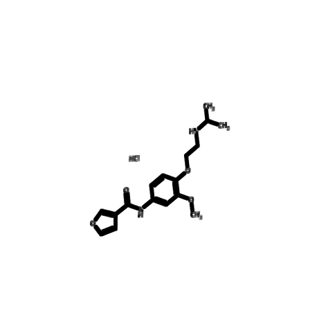 COc1cc(NC(=O)c2ccoc2)ccc1OCCNC(C)C.Cl